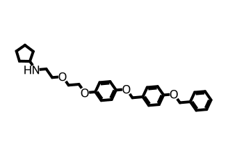 c1ccc(COc2ccc(COc3ccc(OCCOCCNC4CCCC4)cc3)cc2)cc1